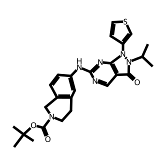 CC(C)n1c(=O)c2cnc(Nc3ccc4c(c3)CCN(C(=O)OC(C)(C)C)C4)nc2n1-c1ccsc1